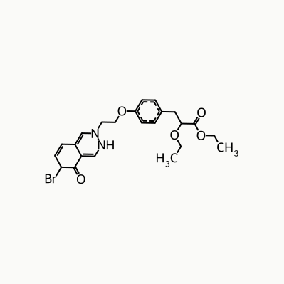 CCOC(=O)C(Cc1ccc(OCCN2C=C3C=CC(Br)C(=O)C3=CN2)cc1)OCC